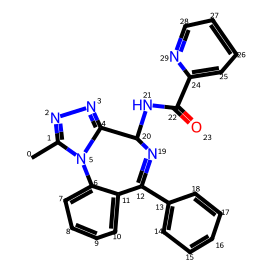 Cc1nnc2n1-c1ccccc1C(c1ccccc1)=NC2NC(=O)c1ccccn1